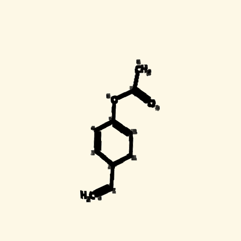 C=C[C]1C=CC(OC(C)=O)=CC1